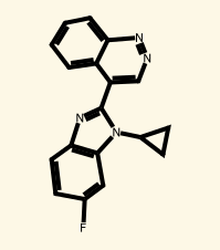 Fc1ccc2nc(-c3cnnc4ccccc34)n(C3CC3)c2c1